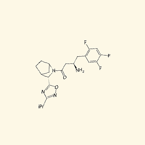 CC(C)c1noc([C@@H]2C3CCC(C3)N2C(=O)C[C@H](N)Cc2cc(F)c(F)cc2F)n1